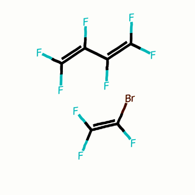 FC(F)=C(F)Br.FC(F)=C(F)C(F)=C(F)F